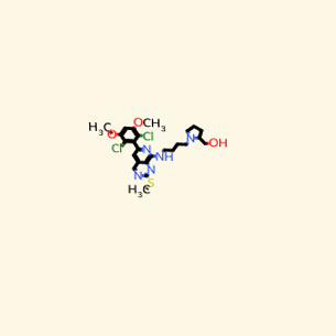 COc1cc(OC)c(Cl)c(-c2cc3cnc(SC)nc3c(NCCCCN3CCCC3CO)n2)c1Cl